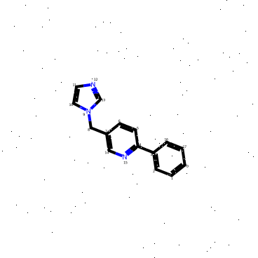 c1ccc(-c2ccc(Cn3ccnc3)cn2)cc1